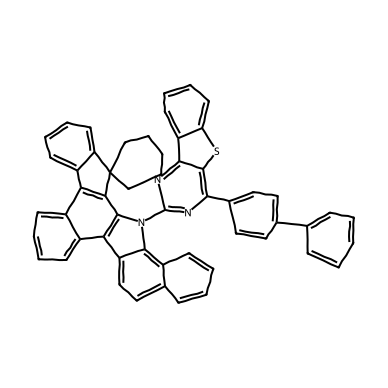 c1ccc(-c2ccc(-c3nc(-n4c5c6c(c7ccccc7c5c5ccc7ccccc7c54)-c4ccccc4C64CCCCC4)nc4c3sc3ccccc34)cc2)cc1